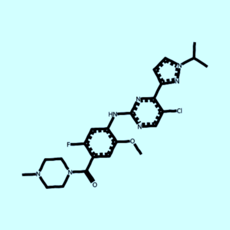 COc1cc(C(=O)N2CCN(C)CC2)c(F)cc1Nc1ncc(Cl)c(-c2ccn(C(C)C)n2)n1